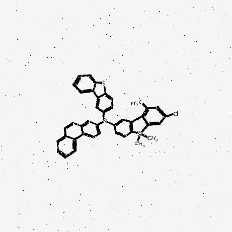 Cc1cc(Cl)cc2c1-c1cc(N(c3ccc4c(ccc5ccccc54)c3)c3ccc4sc5ccccc5c4c3)ccc1[Si]2(C)C